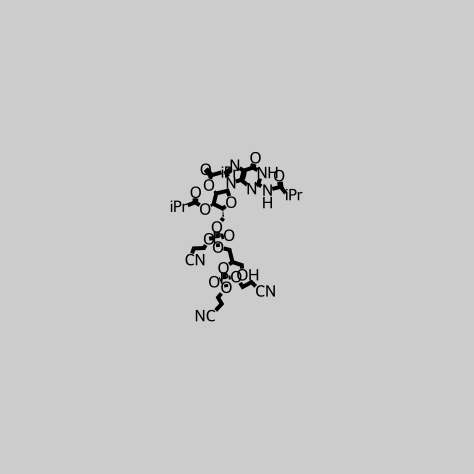 CC(C)C(=O)Nc1nc2c(ncn2[C@@H]2O[C@H](COP(=O)(OCCC#N)OCC(CO)OP(=O)(OCCC#N)OCCC#N)[C@@H](OC(=O)C(C)C)[C@H]2OC(=O)C(C)C)c(=O)[nH]1